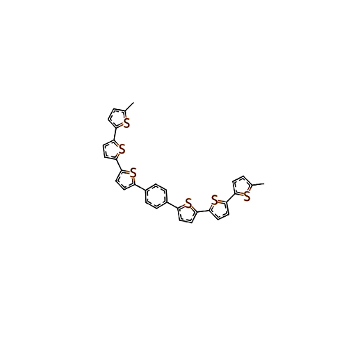 Cc1ccc(-c2ccc(-c3ccc(-c4ccc(-c5ccc(-c6ccc(-c7ccc(C)s7)s6)s5)cc4)s3)s2)s1